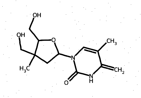 C=C1NC(=O)N(C2CC(C)(CO)C(CO)O2)C=C1C